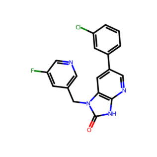 O=c1[nH]c2ncc(-c3cccc(Cl)c3)cc2n1Cc1cncc(F)c1